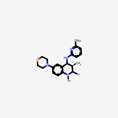 CCC1[C@H](C)C(Nc2cccc(OC)n2)c2cc(N3CCOCC3)ccc2N1C(C)=O